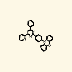 c1ccc(-c2cc(-c3ccccn3)nc(-c3ccc(N4c5ccccc5Oc5ccccc54)cc3)n2)cc1